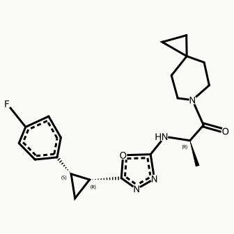 C[C@@H](Nc1nnc([C@@H]2C[C@@H]2c2ccc(F)cc2)o1)C(=O)N1CCC2(CC1)CC2